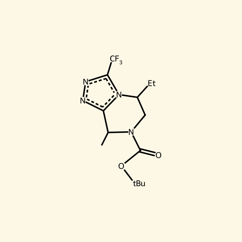 CCC1CN(C(=O)OC(C)(C)C)C(C)c2nnc(C(F)(F)F)n21